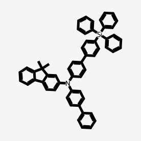 CC1(C)c2ccccc2-c2ccc(N(c3ccc(-c4ccccc4)cc3)c3ccc(-c4ccc([Si](c5ccccc5)(c5ccccc5)c5ccccc5)cc4)cc3)cc21